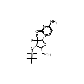 CC(C)(C)[Si](C)(C)O[C@H]1[C@@H](CO)O[C@@H](n2ccc(N)nc2=O)C1(F)F